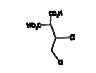 O=C(O)C(C(=O)O)C(Cl)CCl